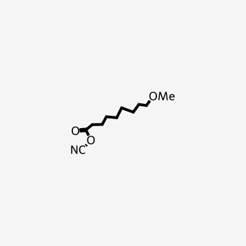 COCCCCCCCCC(=O)OC#N